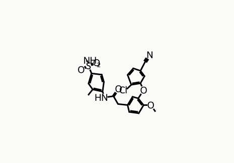 COc1ccc(CC(=O)Nc2ccc(S(N)(=O)=O)cc2C)cc1Oc1cc(C#N)ccc1Cl